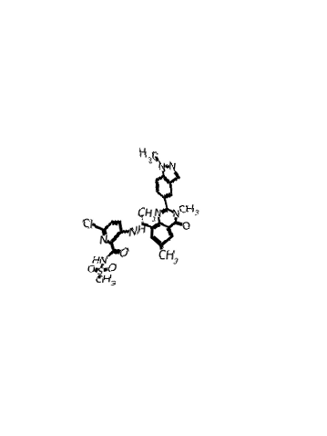 Cc1cc([C@@H](C)Nc2ccc(Cl)nc2C(=O)NS(C)(=O)=O)c2nc(-c3ccc4c(cnn4C)c3)n(C)c(=O)c2c1